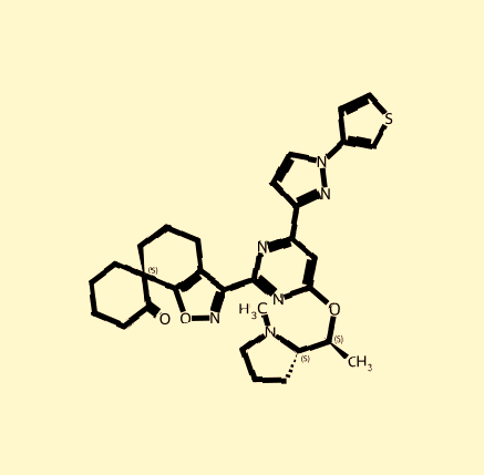 C[C@H](Oc1cc(-c2ccn(-c3ccsc3)n2)nc(-c2noc3c2CCC[C@@]32CCCCC2=O)n1)[C@@H]1CCCN1C